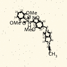 CC#CN1Cc2cn(Cc3cc(OC)c4c(NS(=O)(=O)c5c(OC)cccc5OC)noc4c3)nc2C1